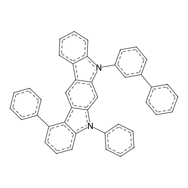 c1ccc(-c2cccc(-n3c4ccccc4c4cc5c6c(-c7ccccc7)cccc6n(-c6ccccc6)c5cc43)c2)cc1